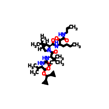 C=CCNC(=O)C(=O)C(CCCC)NC(=O)[C@@H]1[C@@H]2[C@H](CN1C(=O)[C@@H](NC(=O)N[C@H](C(=O)OC(C1CC1)C1CC1)C(C)C)C(C)(C)C)C2(C)C